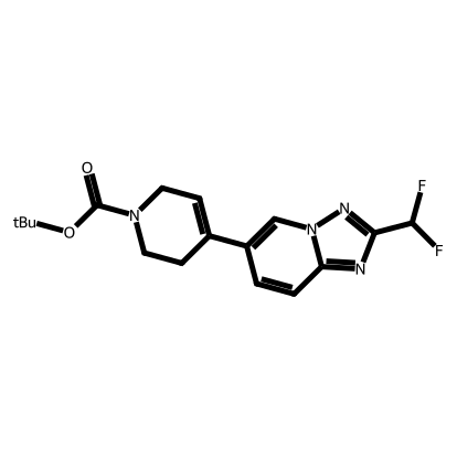 CC(C)(C)OC(=O)N1CC=C(c2ccc3nc(C(F)F)nn3c2)CC1